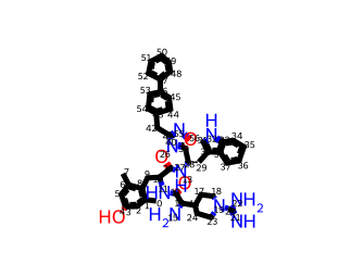 Cc1cc(O)cc(C)c1CC(NC(=O)C(N)C1CCN(C(=N)N)CC1)C(=O)N[C@@H](Cc1c[nH]c2ccccc12)c1nc(Cc2ccc(-c3ccccc3)cc2)no1